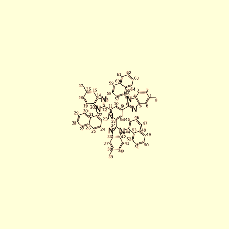 Cc1ccc2c(c1)nc(-c1cc(-c3nc4cc(C)ccc4n3-c3cccc4ccccc34)nc(-c3nc4cc(C)ccc4n3-c3cccc4ccccc34)c1)n2-c1cccc2ccccc12